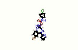 O=C(Nc1ccc(Cl)cc1)ONC1=Nc2ccc(Br)cc2C(c2ccccn2)=NC1